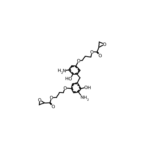 Nc1cc(OCCCOC(=O)C2CO2)cc(Cc2cc(OCCCOC(=O)C3CO3)cc(N)c2O)c1O